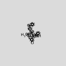 CN(C)CC1Cc2cc(Cl)ccc2N(C(=O)[C@@H](Cc2c[nH]c3ccccc23)NC(=O)CC2CCN(C(=O)c3ccccc3)CC2)C1